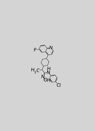 CC(/C(=N/O)Nc1ccc(Cl)cc1)C1CCC(c2ccnc3ccc(F)cc23)CC1